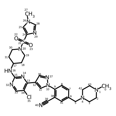 CN1CCN(Cc2ccc(-n3cc(-c4nc(NC5CCN(S(=O)(=O)c6cn(C)cn6)CC5)ncc4Cl)cn3)c(C#N)c2)CC1